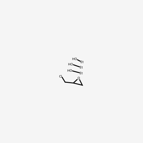 CCO.CCO.CCO.ClCC1CO1